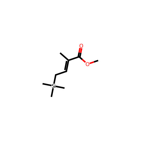 COC(=O)C(C)=CC[Si](C)(C)C